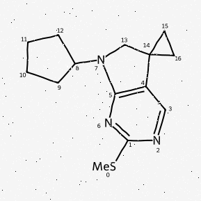 CSc1ncc2c(n1)N(C1CCCC1)CC21CC1